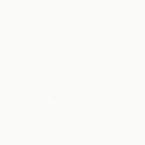 Bc1cc(/C=C/C(c2cc(Cl)c(Cl)c(Cl)c2)C(F)(F)F)ccc1C(=O)OCC